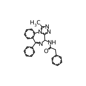 Cc1nnc2n1-c1ccccc1C(c1ccccc1)=NC2NC(=O)Cc1ccccc1